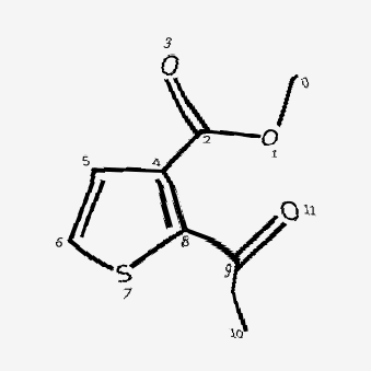 COC(=O)c1ccsc1C(C)=O